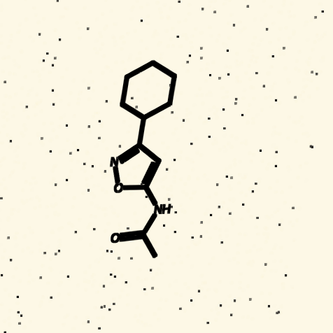 CC(=O)Nc1cc(C2CCCCC2)no1